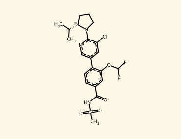 CC(C)[C@@H]1CCCN1c1ncc(-c2ccc(C(=O)NS(C)(=O)=O)cc2OC(F)F)cc1Cl